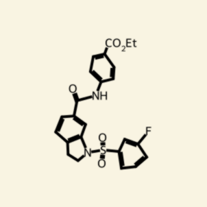 CCOC(=O)c1ccc(NC(=O)c2ccc3c(c2)N(S(=O)(=O)c2cccc(F)c2)CC3)cc1